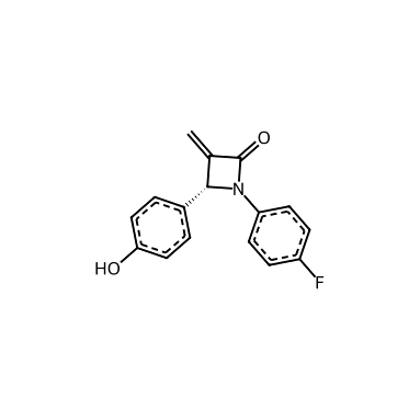 C=C1C(=O)N(c2ccc(F)cc2)[C@@H]1c1ccc(O)cc1